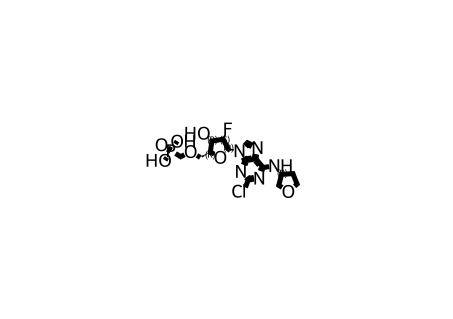 O=P(O)(O)COC[C@H]1O[C@@H](n2cnc3c(N[C@@H]4CCOC4)nc(Cl)nc32)[C@@H](F)[C@@H]1O